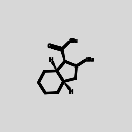 CC(C)(C)C(=O)[C@@H]1[C@@H]2CCCC[C@@H]2CN1C(C)(C)C